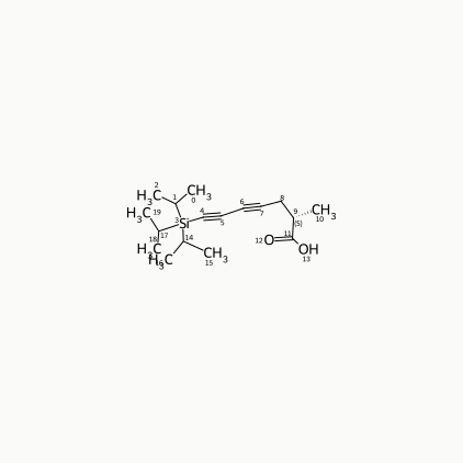 CC(C)[Si](C#CC#CC[C@H](C)C(=O)O)(C(C)C)C(C)C